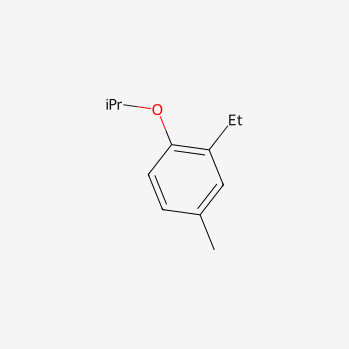 CCc1cc(C)ccc1OC(C)C